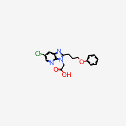 O=C(O)Cn1c(CCCOc2ccccc2)nc2cc(Cl)cnc21